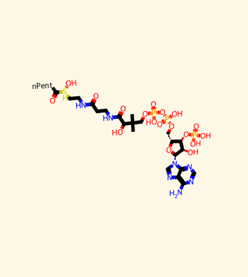 CCCCCC(=O)[SH](O)CCNC(=O)CCNC(=O)C(O)C(C)(C)COP(=O)(O)OP(=O)(O)OC[C@H]1O[C@@H](n2cnc3c(N)ncnc32)[C@H](O)[C@@H]1OP(=O)(O)O